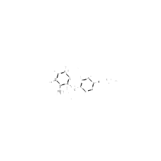 COc1ccc(Nc2cc(C)cc(Cl)c2[N+](=O)[O-])cc1